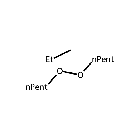 CCC.CCCCCOOCCCCC